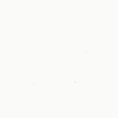 Cc1cc(-c2cc3cc([N+](=O)[O-])ccc3[nH]c2=O)no1